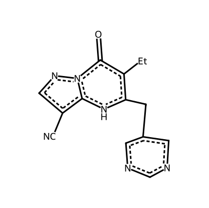 CCc1c(Cc2cncnc2)[nH]c2c(C#N)cnn2c1=O